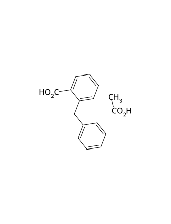 CC(=O)O.O=C(O)c1ccccc1Cc1ccccc1